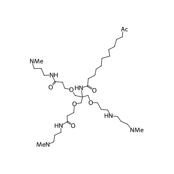 CNCCCNCCCOCC(COCCC(=O)NCCCNC)(COCCC(=O)NCCCNC)NC(=O)CCCCCCCCCCC(C)=O